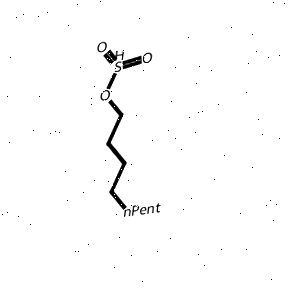 CCCCCCCCCO[SH](=O)=O